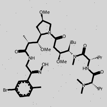 CC[C@H](C)[C@@H]([C@H](CC(=O)N1C[C@H](OC)C[C@@H]1[C@H](OC)[C@@H](C)C(=O)NCC(=NO)c1cc(Br)ccc1C)OC)N(C)C(=O)[C@@H](NC(=O)[C@H](C(C)C)N(C)C)C(C)C